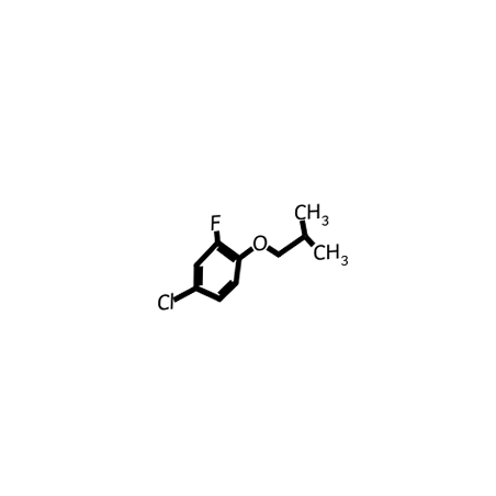 CC(C)COc1ccc(Cl)cc1F